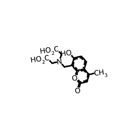 Cc1cc(=O)oc2c(CN(CC(=O)O)CC(=O)O)c(O)ccc12